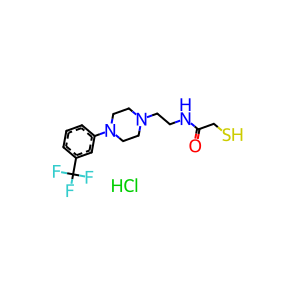 Cl.O=C(CS)NCCN1CCN(c2cccc(C(F)(F)F)c2)CC1